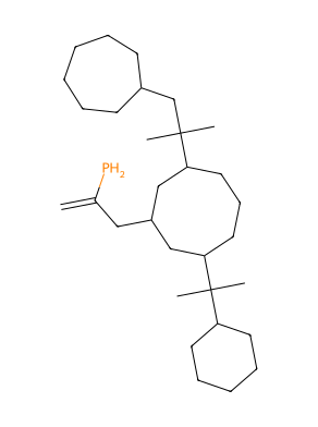 C=C(P)CC1CC(C(C)(C)CC2CCCCCC2)CCCC(C(C)(C)C2CCCCC2)C1